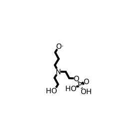 [O]CCCN(CCO)CCOP(=O)(O)O